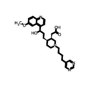 COc1ccc2nccc(C(O)CC[C@@H]3CCN(CCCCc4cncnc4)C[C@@H]3CC(=O)O)c2c1